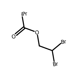 CC(C)C(=O)OCC(Br)Br